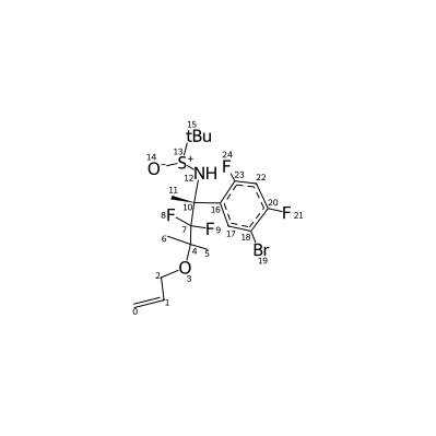 C=CCOC(C)(C)C(F)(F)[C@](C)(N[S+]([O-])C(C)(C)C)c1cc(Br)c(F)cc1F